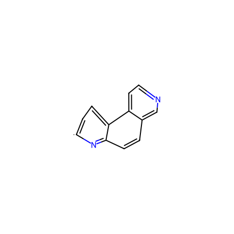 [c]1ccc2c(ccc3cnccc32)n1